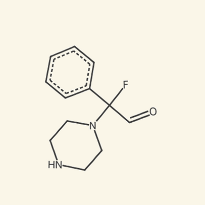 O=CC(F)(c1ccccc1)N1CCNCC1